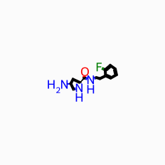 N[C@@H]1CN[C@H](C(=O)NCCc2ccccc2F)C1